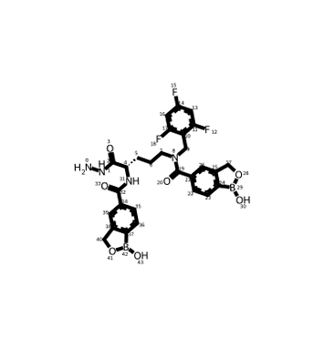 NNC(=O)[C@H](CCCN(Cc1c(F)cc(F)cc1F)C(=O)c1ccc2c(c1)COB2O)NC(=O)c1ccc2c(c1)COB2O